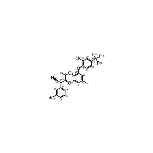 Cc1ccc(OC(C)C(=O)C(C#N)c2cccc(Br)c2)c(Oc2ccc(C(F)(F)F)cc2Cl)c1